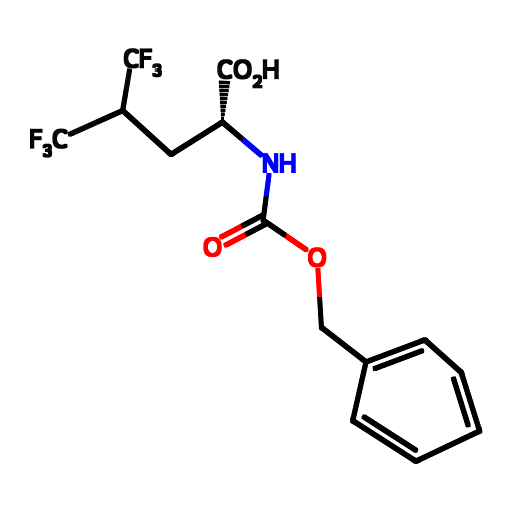 O=C(N[C@H](CC(C(F)(F)F)C(F)(F)F)C(=O)O)OCc1ccccc1